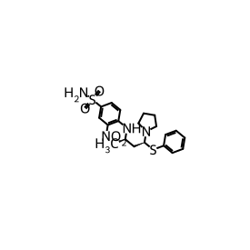 C[C@H](C[C@H](Sc1ccccc1)N1CCCC1)Nc1ccc(S(N)(=O)=O)cc1[N+](=O)[O-]